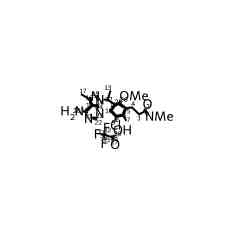 CNC(=O)CCc1c(C)c(Cl)cc(C(C)n2nc(C)c3c(N)ncnc32)c1OC.O=C(O)C(F)(F)F